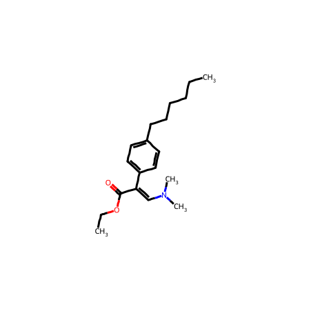 CCCCCCc1ccc(/C(=C\N(C)C)C(=O)OCC)cc1